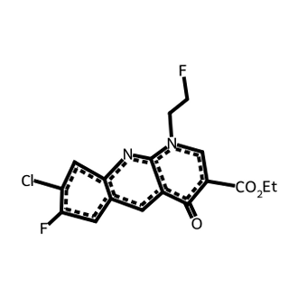 CCOC(=O)c1cn(CCF)c2nc3cc(Cl)c(F)cc3cc2c1=O